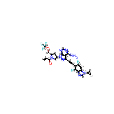 C=CC(=O)N1C[C@@H](n2nc(C#Cc3c(F)cc4c(ncn4C4CC4)c3F)c3c(N)ncnc32)C[C@@H]1COC(F)(F)F